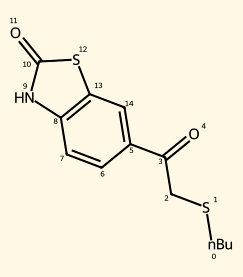 CCCCSCC(=O)c1ccc2[nH]c(=O)sc2c1